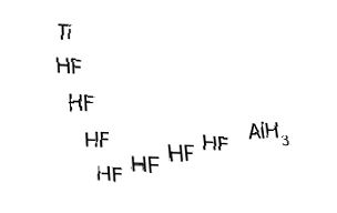 F.F.F.F.F.F.F.[AlH3].[Ti]